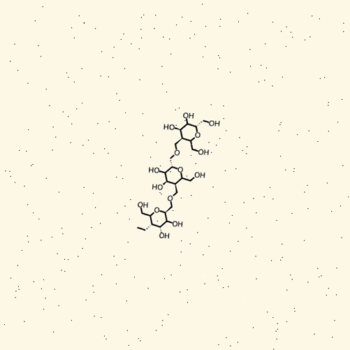 CC[C@@H]1C(CO)O[C@@H](COC[C@@H]2C(CO)O[C@@H](COC[C@@H]3C(CO)O[C@@H](CO)C(O)[C@@H]3O)C(O)[C@@H]2O)C(O)[C@@H]1O